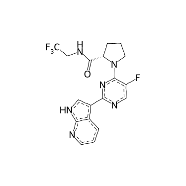 O=C(NCC(F)(F)F)[C@@H]1CCCN1c1nc(-c2c[nH]c3ncccc23)ncc1F